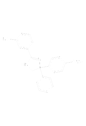 COc1ccc(C2(c3ccccc3)CNC(c3cccc(C#N)c3)=N2)cc1